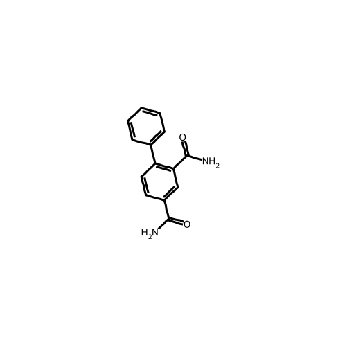 NC(=O)c1ccc(-c2ccccc2)c(C(N)=O)c1